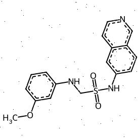 COc1cccc(NCS(=O)(=O)Nc2ccc3cnccc3c2)c1